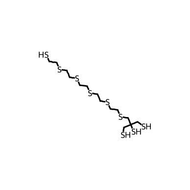 SCCSCCSCCSCCSCCSCC(S)(CS)CS